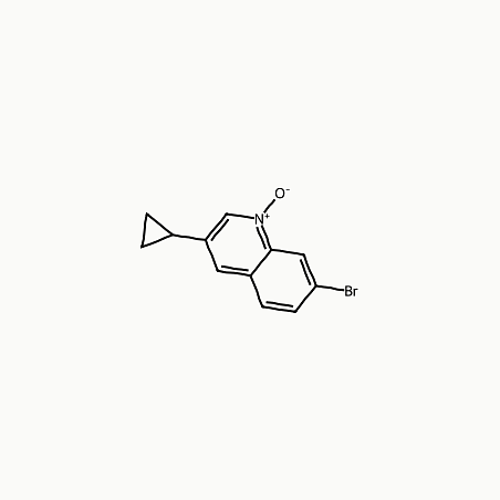 [O-][n+]1cc(C2CC2)cc2ccc(Br)cc21